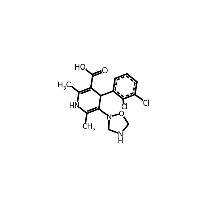 CC1=C(C(=O)O)C(c2cccc(Cl)c2Cl)C(N2CNCO2)=C(C)N1